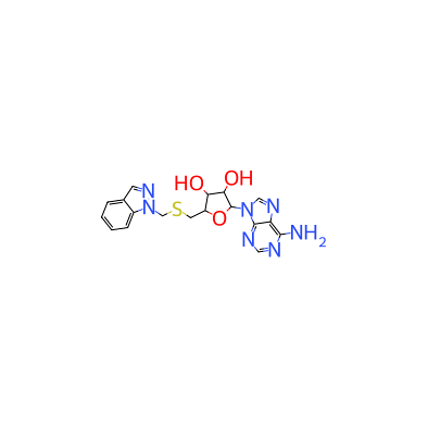 Nc1ncnc2c1ncn2C1OC(CSCn2ncc3ccccc32)C(O)C1O